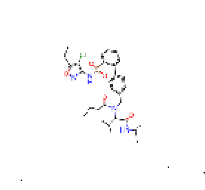 CCCC(=O)N(Cc1ccc(-c2ccccc2S(=O)(=O)Nc2noc(CC)c2Cl)cc1)[C@H](C(=O)NC(C)C)C(C)C